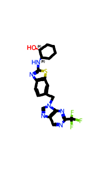 O[C@@H]1CCCC[C@H]1Nc1nc2ccc(Cn3cnc4cnc(C(F)(F)F)nc43)cc2s1